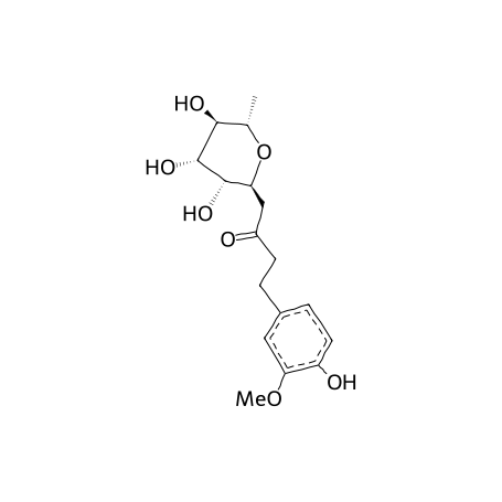 COc1cc(CCC(=O)C[C@@H]2O[C@@H](C)[C@H](O)[C@@H](O)[C@H]2O)ccc1O